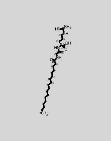 CCCCCCCCCCCCCCCCCC(=O)NCC(=O)N[C@@H](CCCNC(=N)N)C(=O)O